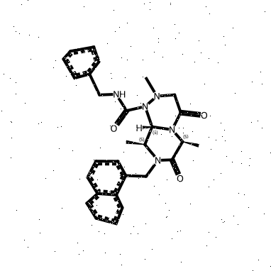 C[C@H]1[C@H]2N(C(=O)CN(C)N2C(=O)NCc2ccccc2)[C@@H](C)C(=O)N1Cc1cccc2ccccc12